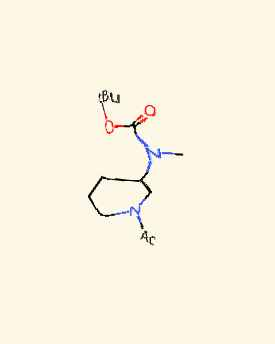 CC(=O)N1CCCC(N(C)C(=O)OC(C)(C)C)C1